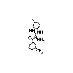 Cc1ccc2c(c1)NC(N(N)C(=O)c1cccc(C(F)(F)F)c1)N2